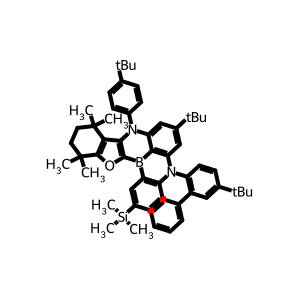 CC(C)(C)c1ccc(N2c3cc(C(C)(C)C)cc4c3B(c3cc([Si](C)(C)C)ccc3N4c3ccc(C(C)(C)C)cc3-c3ccccc3)c3oc4c(c32)C(C)(C)CCC4(C)C)cc1